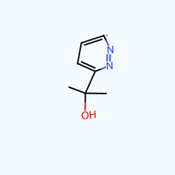 CC(C)(O)c1cc[c]nn1